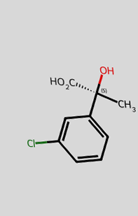 C[C@@](O)(C(=O)O)c1cccc(Cl)c1